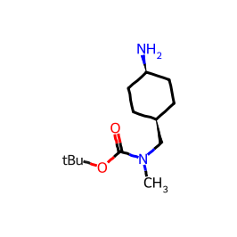 CN(C[C@H]1CC[C@@H](N)CC1)C(=O)OC(C)(C)C